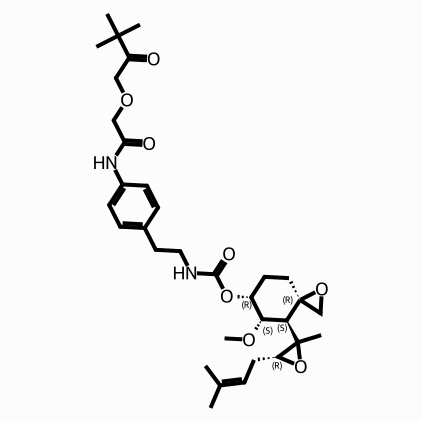 CO[C@H]1[C@H](C2(C)O[C@@H]2CC=C(C)C)[C@]2(CC[C@H]1OC(=O)NCCc1ccc(NC(=O)COCC(=O)C(C)(C)C)cc1)CO2